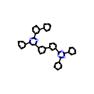 c1ccc(-c2cccc(-c3nc(-c4ccccc4)cc(-c4cccc(-c5cccc(-c6nc(-c7ccccc7)nc(-c7ccccc7)n6)c5)c4)n3)c2)cc1